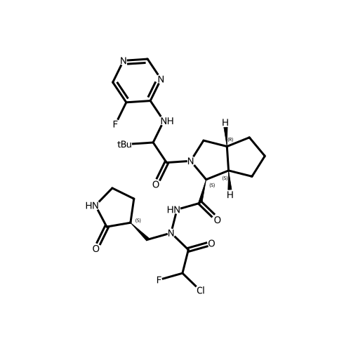 CC(C)(C)C(Nc1ncncc1F)C(=O)N1C[C@@H]2CCC[C@@H]2[C@H]1C(=O)NN(C[C@@H]1CCNC1=O)C(=O)C(F)Cl